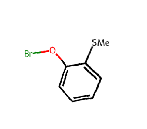 CSc1ccccc1OBr